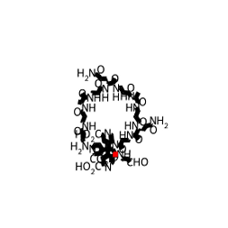 CC(NC(=O)CCNC(=O)CCN)C(=O)NCCC(=O)N[C@@H](CCC(N)=O)C(=O)NCCC(=O)NC(C)C(=O)NCCC(=O)N[C@@H](CCC(N)=O)C(=O)NCCC(=O)NC(C(=O)N[CH]CC=O)C(c1ccnc(C(=O)O)c1)(c1ccnc(C(=O)O)c1)c1ccnc(C(=O)O)c1